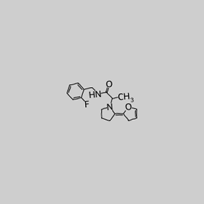 CC(C(=O)NCc1ccccc1F)N1CCCC1=C1CC=CO1